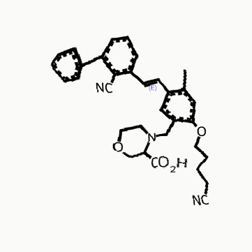 Cc1cc(OCCCCC#N)c(CN2CCOCC2C(=O)O)cc1/C=C/c1cccc(-c2ccccc2)c1C#N